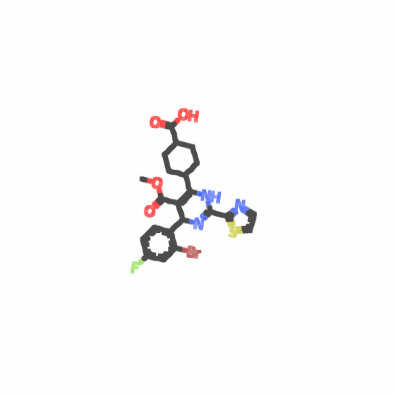 COC(=O)C1=C(C2CCC(C(=O)O)CC2)NC(c2nccs2)=NC1c1ccc(F)cc1Br